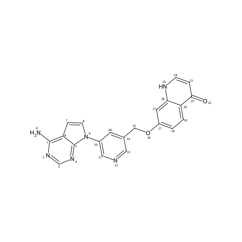 Nc1ncnc2c1ccn2-c1cncc(COc2ccc3c(=O)cc[nH]c3c2)c1